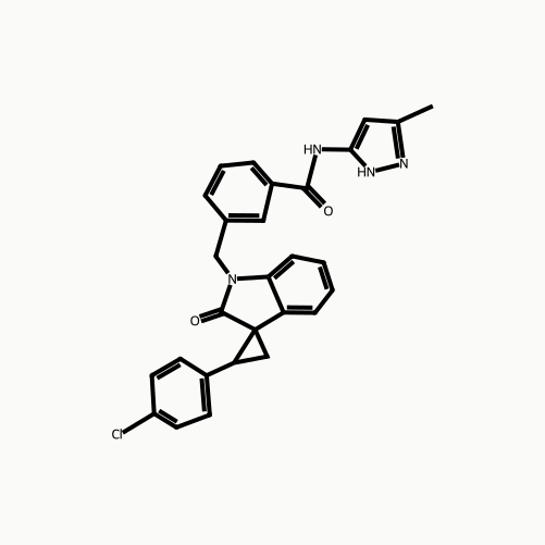 Cc1cc(NC(=O)c2cccc(CN3C(=O)C4(CC4c4ccc(Cl)cc4)c4ccccc43)c2)[nH]n1